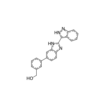 OCc1cccc(-c2ccc3nc(-c4[nH]nc5ccccc45)[nH]c3c2)c1